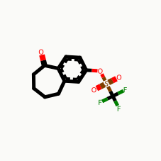 O=C1CCCCc2cc(OS(=O)(=O)C(F)(F)F)ccc21